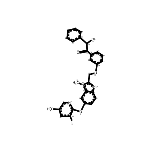 Cc1cnc(Oc2ccc3nc(COc4cccc(C(=O)C(O)c5ccccc5)c4)n(C)c3c2)c(F)c1